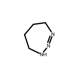 C1CCNN=NC1